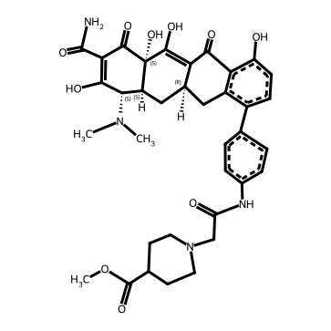 COC(=O)C1CCN(CC(=O)Nc2ccc(-c3ccc(O)c4c3C[C@H]3C[C@H]5[C@H](N(C)C)C(O)=C(C(N)=O)C(=O)[C@@]5(O)C(O)=C3C4=O)cc2)CC1